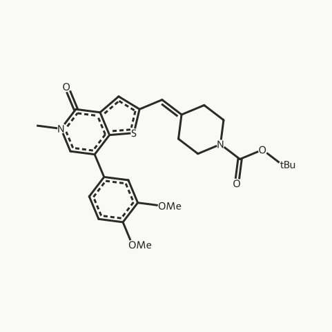 COc1ccc(-c2cn(C)c(=O)c3cc(C=C4CCN(C(=O)OC(C)(C)C)CC4)sc23)cc1OC